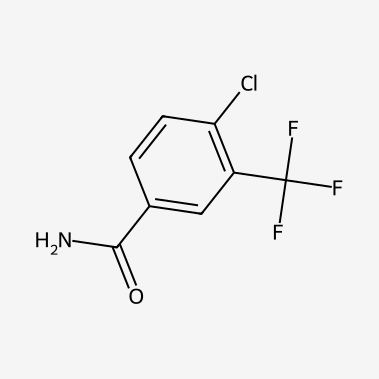 NC(=O)c1ccc(Cl)c(C(F)(F)F)c1